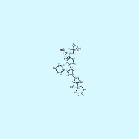 CC(C)(C)N(C(=O)O)[C@]1(c2ccc(-c3nc(-c4cnc(C5(O)CCOCC5)s4)sc3-c3ccccc3)cc2)C[C@](C)(O)C1